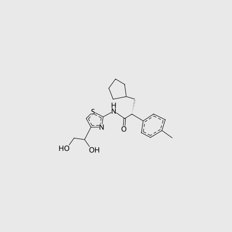 Cc1ccc([C@@H](CC2CCCC2)C(=O)Nc2nc(C(O)CO)cs2)cc1